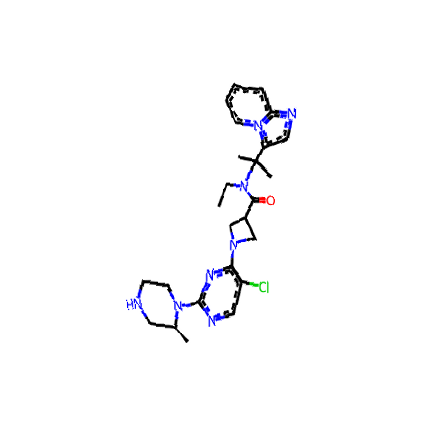 CCN(C(=O)C1CN(c2nc(N3CCNC[C@@H]3C)ncc2Cl)C1)C(C)(C)c1cnc2ccccn12